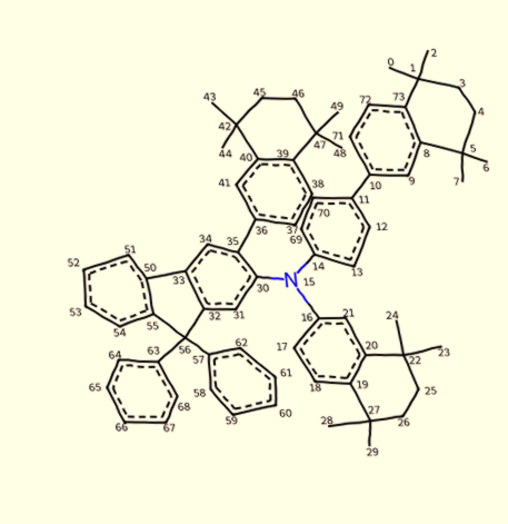 CC1(C)CCC(C)(C)c2cc(-c3ccc(N(c4ccc5c(c4)C(C)(C)CCC5(C)C)c4cc5c(cc4-c4ccc6c(c4)C(C)(C)CCC6(C)C)-c4ccccc4C5(c4ccccc4)c4ccccc4)cc3)ccc21